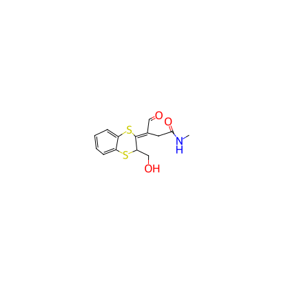 CNC(=O)C/C(C=O)=C1/Sc2ccccc2SC1CO